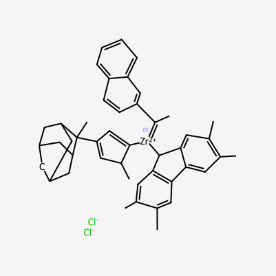 C/[C](c1ccc2ccccc2c1)=[Zr+2](/[C]1=CC(C2(C)C3CC4CC(C3)CC2C4)=CC1C)[CH]1c2cc(C)c(C)cc2-c2cc(C)c(C)cc21.[Cl-].[Cl-]